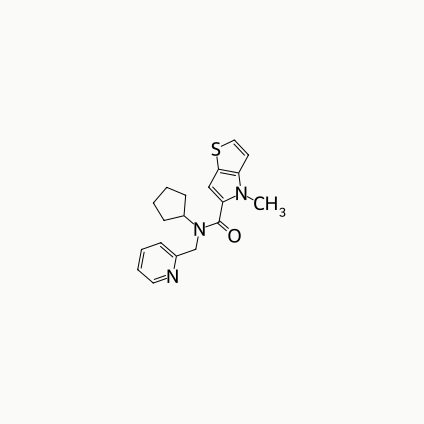 Cn1c(C(=O)N(Cc2ccccn2)C2CCCC2)cc2sccc21